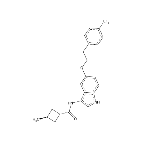 C[C@H]1C[C@H](C(=O)Nc2c[nH]c3ccc(OCCc4ccc(C(F)(F)F)cc4)cc23)C1